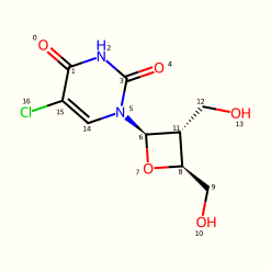 O=c1[nH]c(=O)n([C@@H]2O[C@H](CO)[C@H]2CO)cc1Cl